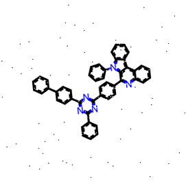 c1ccc(-c2ccc(-c3nc(-c4ccccc4)nc(-c4ccc(-c5nc6ccccc6c6c7ccccc7n(-c7ccccc7)c56)cc4)n3)cc2)cc1